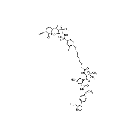 Cc1ncsc1-c1ccc([C@H](C)NC(=O)[C@@H]2C[C@@H](O)CN2C(=O)C(NC(=O)COCCCCCNc2ccc(C(=O)NC3C(C)(C)C(Oc4ccc(C#N)c(Cl)c4)C3(C)C)cc2F)C(C)(C)C)cc1